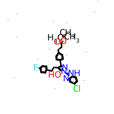 CC(C)(C)OC(=O)CCc1ccc(-c2nn(-c3nc4cc(Cl)ccc4[nH]3)c(O)c2CCc2ccc(F)cc2)cc1